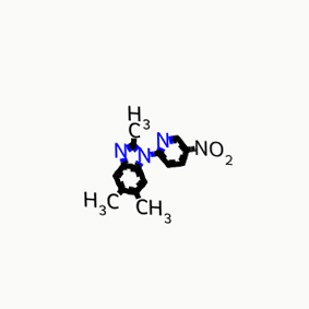 Cc1cc2nc(C)n(-c3ccc([N+](=O)[O-])cn3)c2cc1C